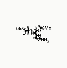 CSC(C)OC(=O)C(=NOC(C)(C)C(=O)OC(C)(C)C)c1csc(N)n1